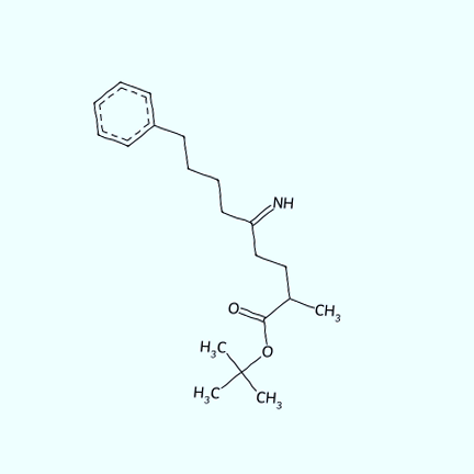 CC(CCC(=N)CCCCc1ccccc1)C(=O)OC(C)(C)C